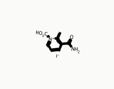 Cc1c(C(N)=O)ccc[n+]1C(=O)O.[I-]